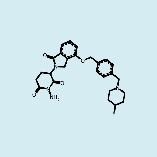 NN1C(=O)CCC(N2Cc3c(OCc4ccc(CN5CCC(F)CC5)cc4)cccc3C2=O)C1=O